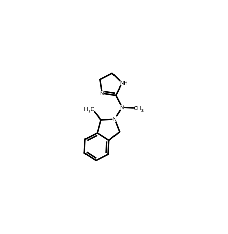 CC1c2ccccc2CN1N(C)C1=NCCN1